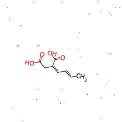 CC=CC=C(CC(=O)O)C(=O)O